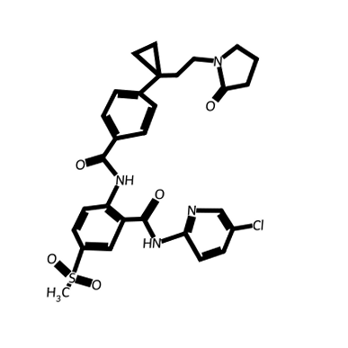 CS(=O)(=O)c1ccc(NC(=O)c2ccc(C3(CCN4CCCC4=O)CC3)cc2)c(C(=O)Nc2ccc(Cl)cn2)c1